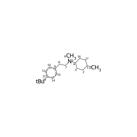 CC1CCC(N(C)CCc2ccc(C(C)(C)C)cc2)CC1